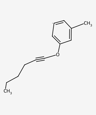 CCCCC#COc1c[c]cc(C)c1